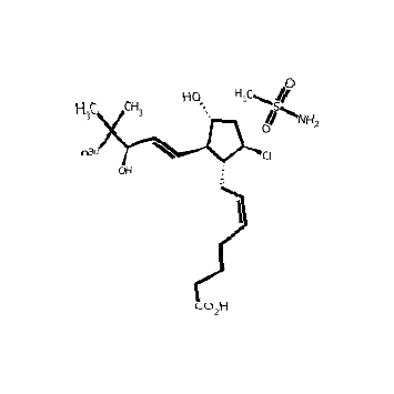 CCCCC(C)(C)[C@H](O)/C=C/[C@@H]1[C@@H](C/C=C\CCCC(=O)O)[C@H](Cl)C[C@H]1O.CS(N)(=O)=O